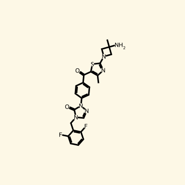 Cc1nc(N2CC(C)(N)C2)sc1C(=O)c1ccc(-n2ncn(Cc3c(F)cccc3F)c2=O)cc1